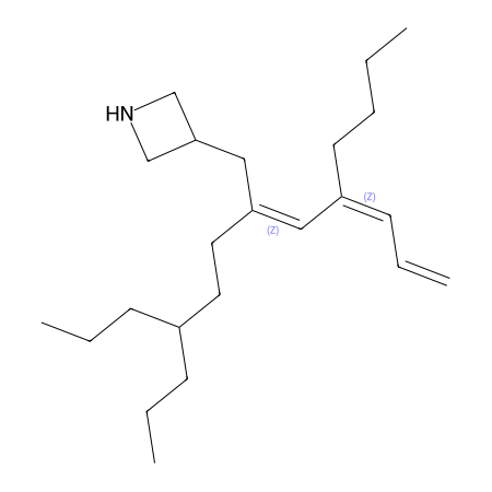 C=C/C=C(\C=C(\CCC(CCC)CCC)CC1CNC1)CCCC